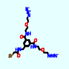 [N-]=[N+]=NCCOCCNC(=O)c1cc(CNC(=O)CBr)cc(C(=O)NCCOCCN=[N+]=[N-])c1